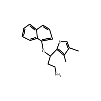 Cc1csc(C(CCN)Oc2cccc3ccccc23)c1C